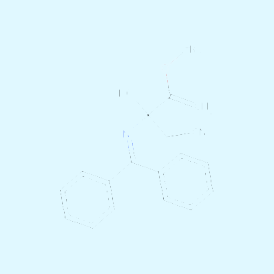 C=C(OC(C)(C)C)C(C)(CC#N)N=C(c1ccccc1)c1ccccc1